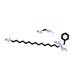 CCCCCCCCCCCCCCCC[N+](C)(C)Cc1ccccc1.CCN